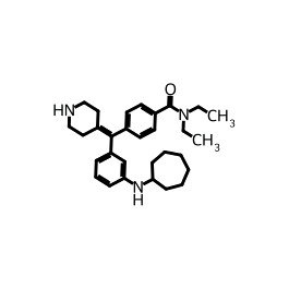 CCN(CC)C(=O)c1ccc(C(=C2CCNCC2)c2cccc(NC3CCCCCC3)c2)cc1